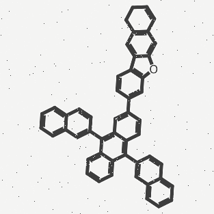 C1=Cc2cc3oc4cc(-c5ccc6c(-c7ccc8ccccc8c7)c7ccccc7c(-c7ccc8ccccc8c7)c6c5)ccc4c3cc2CC1